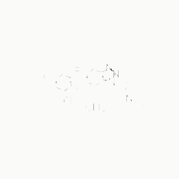 C.NC(=O)Cn1nnc2ccc(Oc3c(F)cc(C(F)(F)F)cc3Cl)cc21